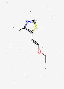 CCO/C=C/c1s[c]nc1C